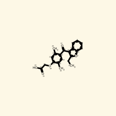 CCc1oc2ccccc2c1C(=O)c1cc(C)c(OCC(=O)O)cc1C